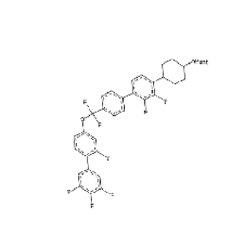 CCCCCC1CCC(c2ccc(-c3ccc(C(F)(F)Oc4ccc(-c5cc(F)c(F)c(F)c5)c(F)c4)cc3)c(F)c2F)CC1